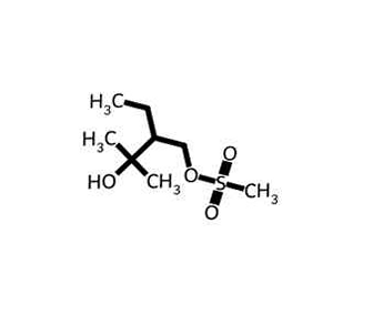 CCC(COS(C)(=O)=O)C(C)(C)O